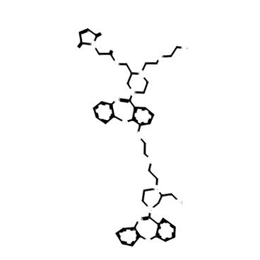 NCC1CN(C2=Nc3ccccc3Sc3ccccc32)CCN1CCOCCOc1cccc2c1Sc1ccccc1N=C2N1CCN(CCOCCO)C(CNC(=O)CN2C(=O)C=CC2=O)C1